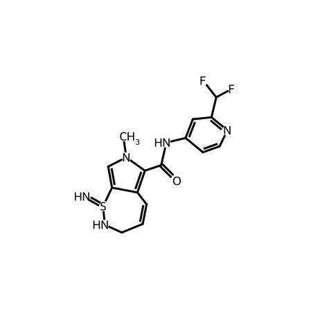 Cn1cc2c(c1C(=O)Nc1ccnc(C(F)F)c1)C=CCNS2=N